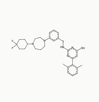 Cc1cccc(C)c1-c1cc(O)nc(NSc2cccc(N3CCCN(C4CCC(F)(F)CC4)CC3)c2)n1